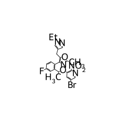 CCn1cc(Cc2oc(C)nc2-c2ccc(F)cc2C(C)Oc2cc(Br)cnc2[N+](=O)[O-])cn1